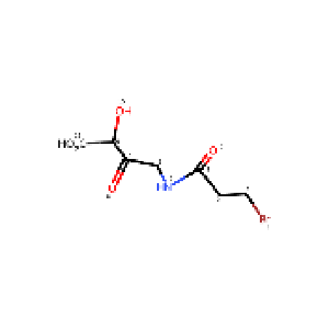 O=C(CCBr)NCC(=O)C(O)C(=O)O